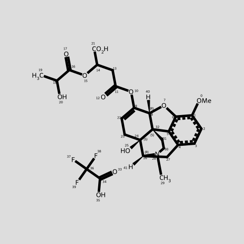 COc1ccc2c3c1O[C@H]1C(OC(=O)CC(OC(=O)C(C)O)C(=O)O)=CC[C@@]4(O)[C@@H](C2)N(C)CC[C@]314.O=C(O)C(F)(F)F